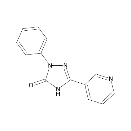 O=c1[nH]c(-c2cccnc2)nn1-c1ccccc1